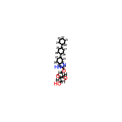 O[C@@H]1CO[C@H]2[C@@H]1OC[C@H]2Oc1nc2cc(-c3ccc(-c4ccccc4)cc3)ccc2[nH]1